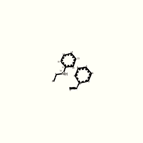 C=Cc1ccccc1.CCNc1ccccc1